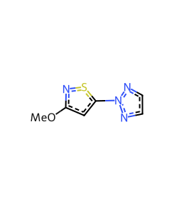 COc1cc(-n2nccn2)sn1